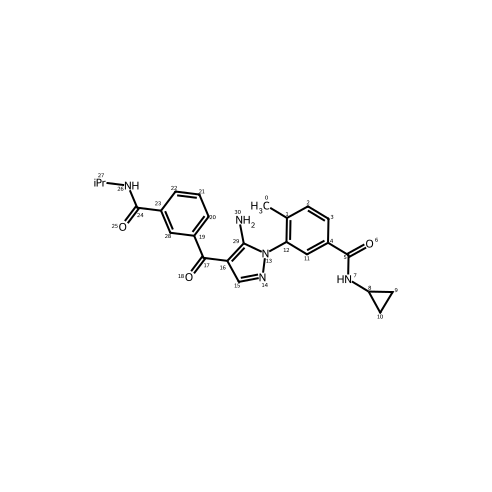 Cc1ccc(C(=O)NC2CC2)cc1-n1ncc(C(=O)c2cccc(C(=O)NC(C)C)c2)c1N